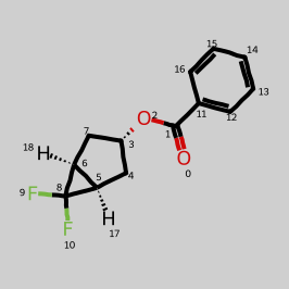 O=C(O[C@@H]1C[C@@H]2[C@H](C1)C2(F)F)c1ccccc1